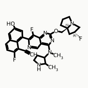 C#Cc1c(F)ccc2cc(O)cc(-c3ncc4c(N(C)C5CCNC5C)nc(OC[C@@]56CCCN5C[C@H](F)C6)nc4c3F)c12